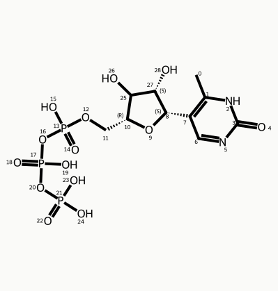 Cc1[nH]c(=O)ncc1[C@@H]1O[C@H](COP(=O)(O)OP(=O)(O)OP(=O)(O)O)C(O)[C@@H]1O